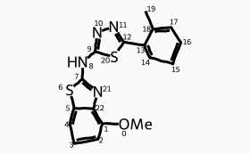 COc1cccc2sc(Nc3nnc(-c4ccccc4C)s3)nc12